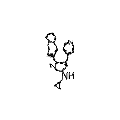 c1ccc2cc(-c3ncc(NC4CC4)cc3-c3ccncc3)ccc2c1